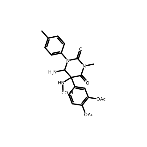 CC(=O)Oc1ccc(C2(NC(=O)O)C(=O)N(C)C(=O)N(c3ccc(C)cc3)C2N)cc1OC(C)=O